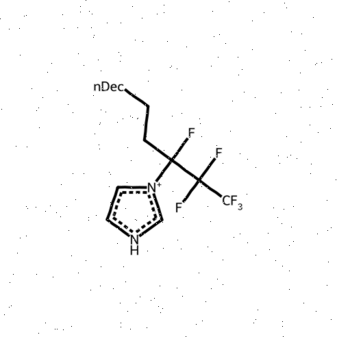 CCCCCCCCCCCCC(F)([n+]1cc[nH]c1)C(F)(F)C(F)(F)F